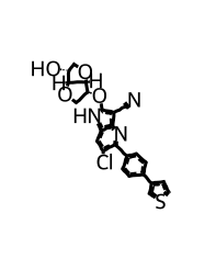 N#Cc1c(O[C@@H]2CO[C@H]3[C@@H]2OC[C@H]3O)[nH]c2cc(Cl)c(-c3ccc(-c4ccsc4)cc3)nc12